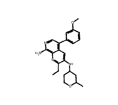 CCc1nc2c(N)ncc(-c3cccc(OC)c3)c2cc1NC1CCOC(C)C1